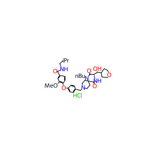 CCCCN1C(=O)[C@@H]([C@H](O)C2CCOCC2)NC(=O)C12CCN(Cc1ccc(Oc3ccc(C(=O)NCC(C)C)cc3OC)cc1)CC2.Cl